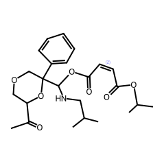 CC(=O)C1COCC(c2ccccc2)(C(NCC(C)C)OC(=O)/C=C\C(=O)OC(C)C)O1